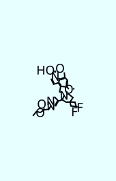 CCOC(=O)Cn1cc(C2CC3(CCN2Cc2c(OC)cc(C)c4c2ccn4C(=O)O)CC(F)(F)C3)cn1